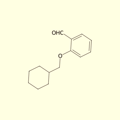 O=Cc1ccccc1OCC1CCCCC1